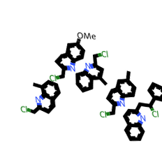 COc1ccc2nc(CCl)ccc2c1.Cc1cc(CCl)nc2ccccc12.Cc1ccc2nc(CCl)ccc2c1.Cc1cccc2ccc(CCl)nc12.ClC(Cc1ccc2ccccc2n1)c1ccccc1